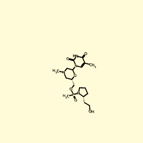 Cc1cn(C2CN(C)C[C@@H](COP(C)(=O)N3CCC[C@@H]3CCO)O2)c(=O)[nH]c1=O